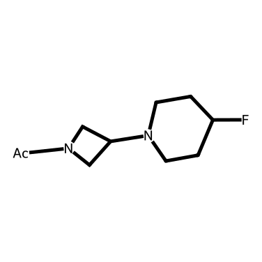 CC(=O)N1CC(N2CCC(F)CC2)C1